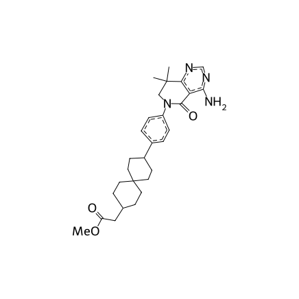 COC(=O)CC1CCC2(CC1)CCC(c1ccc(N3CC(C)(C)c4ncnc(N)c4C3=O)cc1)CC2